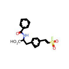 O=C(NC(Cc1ccc(/C=C/S(=O)(=O)F)cc1)C(=O)O)c1ccccc1